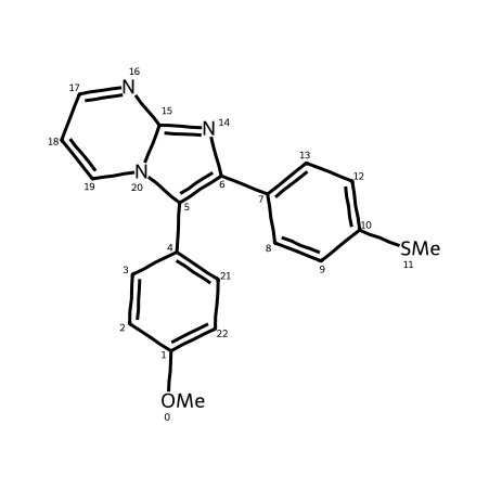 COc1ccc(-c2c(-c3ccc(SC)cc3)nc3ncccn23)cc1